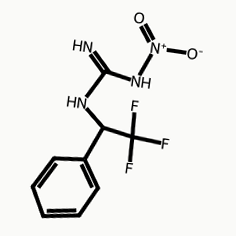 N=C(NC(c1ccccc1)C(F)(F)F)N[N+](=O)[O-]